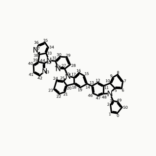 c1ccc(-n2c3ccccc3c3cc(-c4ccc5c(c4)c4ccccc4n5-c4cccc(-n5c6cccnc6c6cccnc65)n4)ccc32)cc1